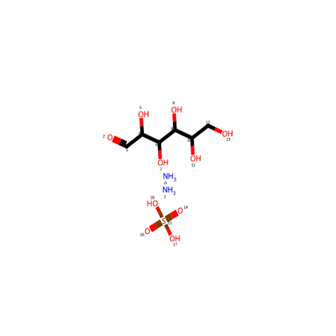 N.N.O=CC(O)C(O)C(O)C(O)CO.O=S(=O)(O)O